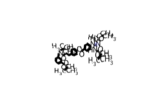 CC(C)(C)CN(Cc1cccc(C(=O)OC(C)(C)C)c1)C(=O)CCc1ccc(OC(=O)c2ccc(N/C(=N\C(=O)OC(C)(C)C)NC(=O)OC(C)(C)C)cc2)cc1F